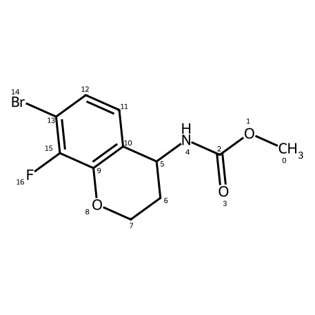 COC(=O)NC1CCOc2c1ccc(Br)c2F